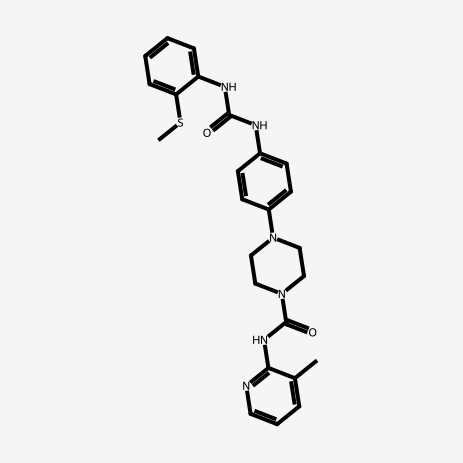 CSc1ccccc1NC(=O)Nc1ccc(N2CCN(C(=O)Nc3ncccc3C)CC2)cc1